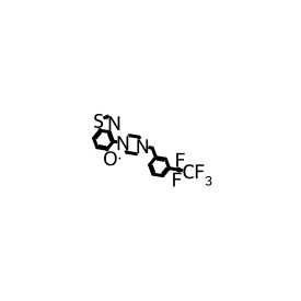 [O]c1ccc2scnc2c1N1CCN(Cc2cccc(C(F)(F)C(F)(F)F)c2)CC1